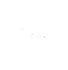 C#Cc1ccc(-c2nnc(NC3CC(C)(OC)C3)c3c2C2CCC3O2)c(O)c1